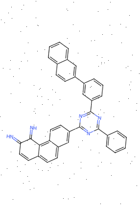 N=C1C=Cc2ccc3cc(-c4nc(-c5ccccc5)nc(-c5cccc(-c6ccc7ccccc7c6)c5)n4)ccc3c2C1=N